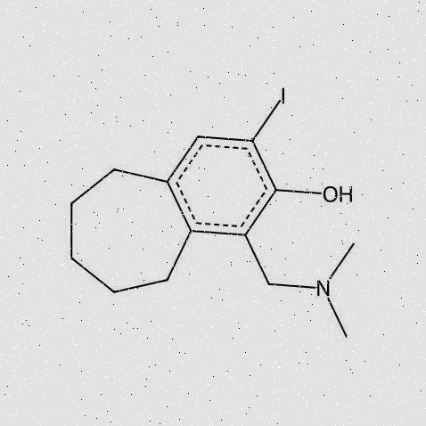 CN(C)Cc1c(O)c(I)cc2c1CCCCC2